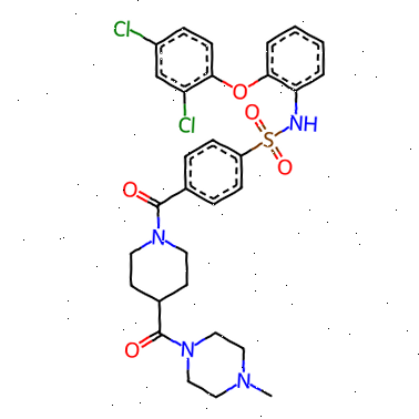 CN1CCN(C(=O)C2CCN(C(=O)c3ccc(S(=O)(=O)Nc4ccccc4Oc4ccc(Cl)cc4Cl)cc3)CC2)CC1